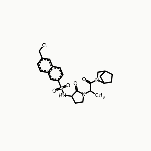 CC(C(=O)N1CC2CCC1C2)N1CCC(NS(=O)(=O)c2ccc3cc(CCl)ccc3c2)C1=O